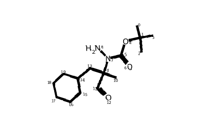 CC(C)(C)OC(=O)N(N)C(C)(C=O)CC1CCCCC1